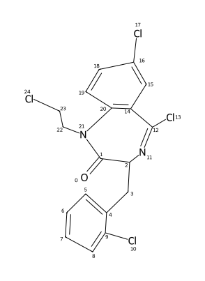 O=C1C(Cc2ccccc2Cl)N=C(Cl)c2cc(Cl)ccc2N1CCCl